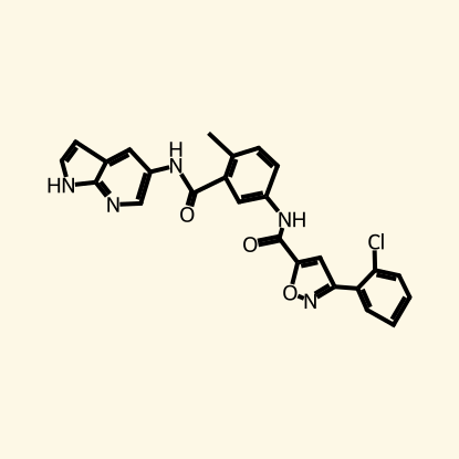 Cc1ccc(NC(=O)c2cc(-c3ccccc3Cl)no2)cc1C(=O)Nc1cnc2[nH]ccc2c1